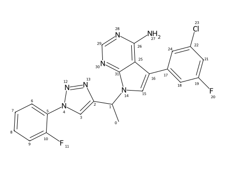 CC(c1cn(-c2ccccc2F)nn1)n1cc(-c2cc(F)cc(Cl)c2)c2c(N)ncnc21